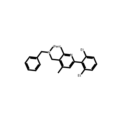 CCCC(C)N(Cc1ccccc1)Cc1c(C)cc(-c2c(CC)cccc2CC)nc1C